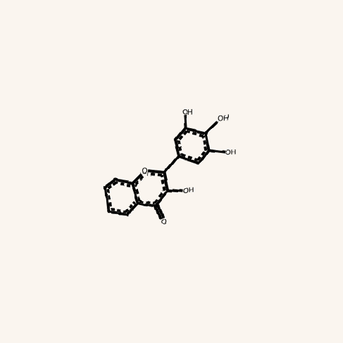 O=c1c(O)c(-c2cc(O)c(O)c(O)c2)oc2ccccc12